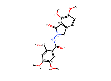 COc1cc(C=O)c(C(=O)NN2Cc3ccc(OC)c(OC)c3C2=O)cc1OC